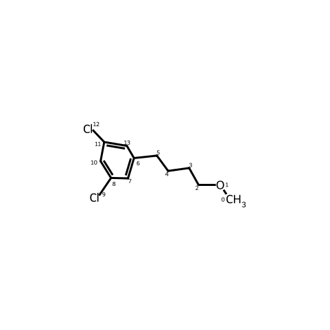 COCCCCc1cc(Cl)cc(Cl)c1